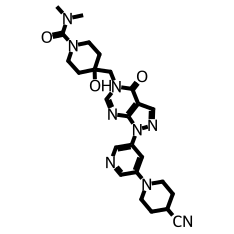 CN(C)C(=O)N1CCC(O)(Cn2cnc3c(cnn3-c3cncc(N4CCC(C#N)CC4)c3)c2=O)CC1